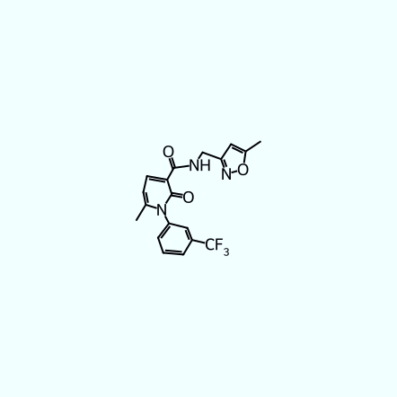 Cc1cc(CNC(=O)c2ccc(C)n(-c3cccc(C(F)(F)F)c3)c2=O)no1